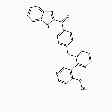 COc1ccncc1-c1nccnc1Oc1ccc(C(=O)c2nc3ccccc3[nH]2)cc1